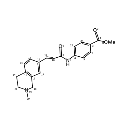 COC(=O)c1ccc(NC(=O)C=Cc2ccc3c(c2)CN(C)CC3)cc1